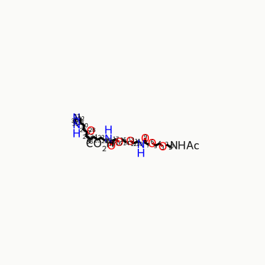 CC(=O)NCCOCCOCC(=O)NCCOCCOCC(=O)NCCCC[C@H](CC(=O)CCc1cnc[nH]1)C(=O)O